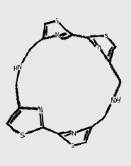 c1sc2nc1CNCc1csc(n1)-c1nc(cs1)CNCc1csc-2n1